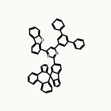 c1ccc(-c2cc(-c3ccccc3)cc(-c3cc(-c4cccc5c4oc4ccccc45)nc(-c4ccc5c(c4)C4(c6ccccc6-c6ccccc6-c6ccccc64)c4ccccc4-5)n3)c2)cc1